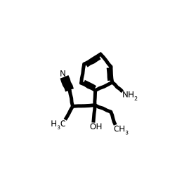 CCC(O)(c1ccccc1N)C(C)C#N